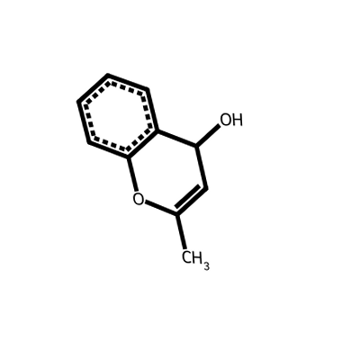 CC1=CC(O)c2ccccc2O1